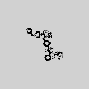 CCC(=O)NC(Cc1ccc(NC(=O)C(NC(=O)c2ccnn2C)C2CCCCC2)cc1)C(=O)N1CCN(Cc2cccnc2)CC1